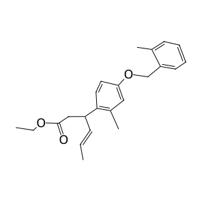 CC=CC(CC(=O)OCC)c1ccc(OCc2ccccc2C)cc1C